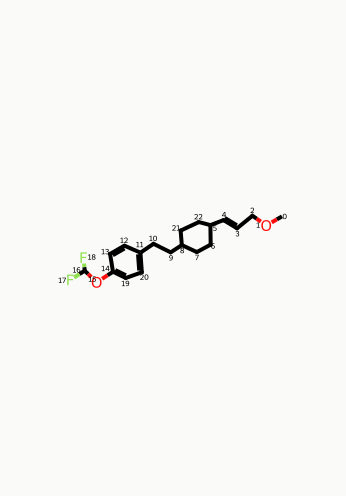 COCC=CC1CCC(CCc2ccc(OC(F)F)cc2)CC1